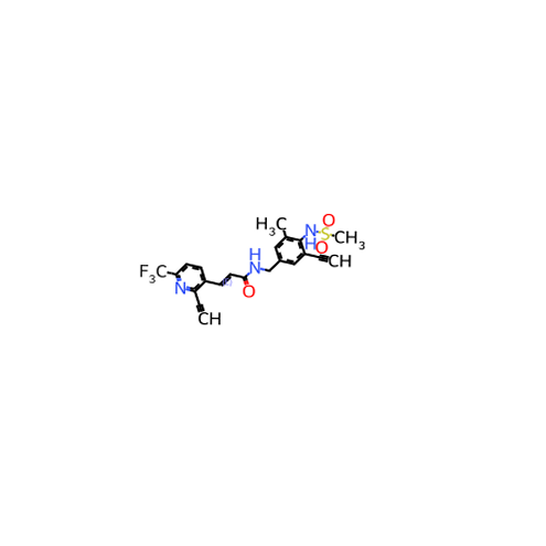 C#Cc1cc(CNC(=O)/C=C/c2ccc(C(F)(F)F)nc2C#C)cc(C)c1NS(C)(=O)=O